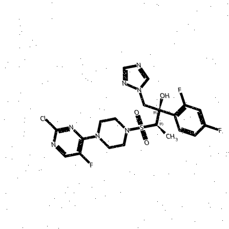 C[C@H]([C@](O)(Cn1cncn1)c1ccc(F)cc1F)S(=O)(=O)N1CCN(c2nc(Cl)ncc2F)CC1